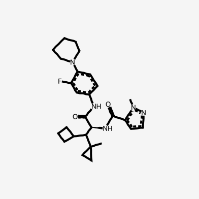 Cn1nccc1C(=O)N[C@H](C(=O)Nc1ccc(N2CCCCC2)c(F)c1)C(C1CCC1)C1(C)CC1